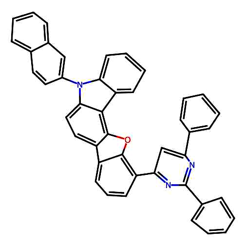 c1ccc(-c2cc(-c3cccc4c3oc3c4ccc4c3c3ccccc3n4-c3ccc4ccccc4c3)nc(-c3ccccc3)n2)cc1